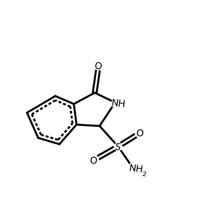 NS(=O)(=O)C1NC(=O)c2ccccc21